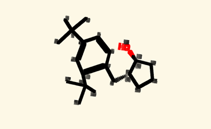 CC(C)(C)c1ccc(C[C@H]2CCC[C@@H]2O)c(C(C)(C)C)c1